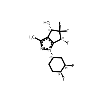 Cc1nn([C@H]2CC[C@H](F)[C@H](F)C2)c2c1[C@H](O)C(F)(F)[C@@H]2F